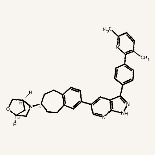 Cc1ccc(C)c(-c2ccc(-c3n[nH]c4ncc(-c5ccc6c(c5)CC[C@@H](N5C[C@@H]7C[C@H]5CO7)CC6)cc34)cc2)n1